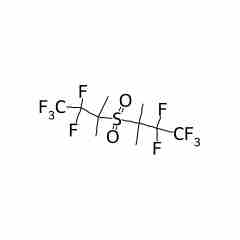 CC(C)(C(F)(F)C(F)(F)F)S(=O)(=O)C(C)(C)C(F)(F)C(F)(F)F